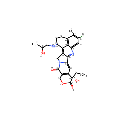 CC[C@@]1(O)C(=O)OCc2c1cc1n(c2=O)Cc2c-1nc1cc(Cl)c(C)c3c1c2[C@@H](NCC(C)O)CC3